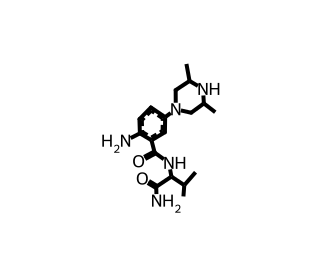 CC1CN(c2ccc(N)c(C(=O)NC(C(N)=O)C(C)C)c2)CC(C)N1